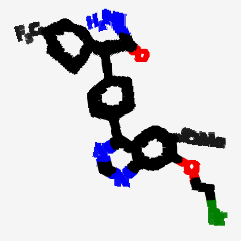 COc1cc2c(-c3ccc(C(C(N)=O)c4ccc(C(F)(F)F)cc4)cc3)ncnc2cc1OCCBr